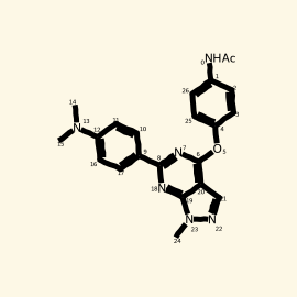 CC(=O)Nc1ccc(Oc2nc(-c3ccc(N(C)C)cc3)nc3c2cnn3C)cc1